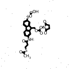 CC(=O)SCCC(=O)Nc1ccc2c(c1)C(COC(=O)ON1C(=O)CCC1=O)c1cc(SOOO)ccc1-2